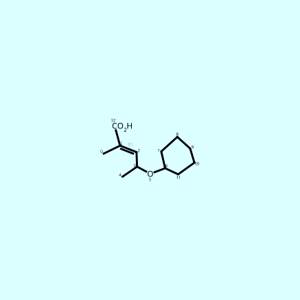 C/C(=C\C(C)OC1CCCCC1)C(=O)O